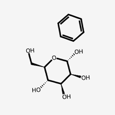 OC[C@H]1O[C@H](O)[C@@H](O)[C@@H](O)[C@@H]1O.c1ccccc1